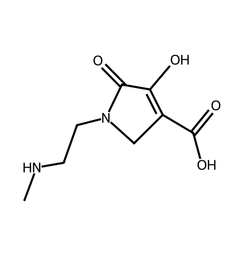 CNCCN1CC(C(=O)O)=C(O)C1=O